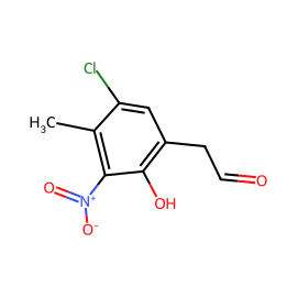 Cc1c(Cl)cc(CC=O)c(O)c1[N+](=O)[O-]